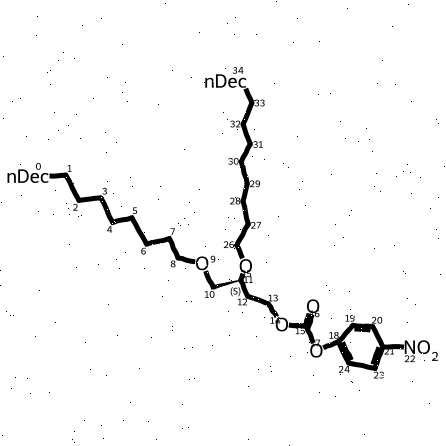 CCCCCCCCCCCCCCCCCCOC[C@H](CCOC(=O)Oc1ccc([N+](=O)[O-])cc1)OCCCCCCCCCCCCCCCCCC